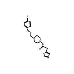 O=C(Cc1cncs1)ON1CCC(CCOc2ccc(F)cc2)CC1